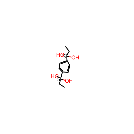 CC[Si](O)(O)c1ccc([Si](O)(O)CC)cc1